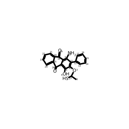 CC(S)Oc1c(O)c2c(c(N)c1-c1ccccc1)C(=O)c1ccccc1C2=O